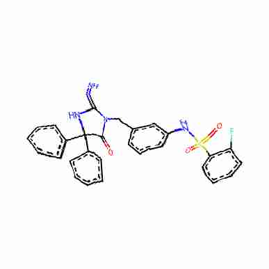 N=C1NC(c2ccccc2)(c2ccccc2)C(=O)N1Cc1cccc(NS(=O)(=O)c2ccccc2F)c1